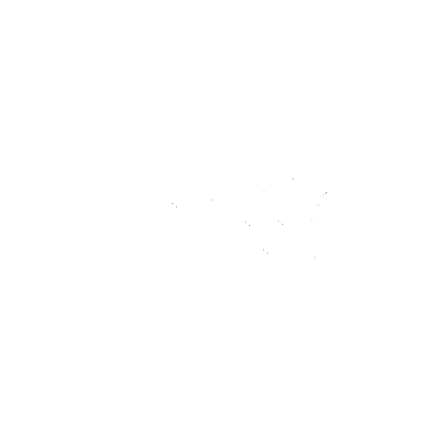 CC(=O)c1cnc(N2CC([C@H]3CCCN(C4CC(C)(C(=O)O)C4)C3)C2)nc1N[C@H](C)c1ccc(Cl)cc1Cl